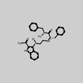 CCN(CCN[C@@H](Cc1ccccc1)C(=O)N(C)Cc1ccccc1)c1c(C(N)=O)[nH]c2ccccc12